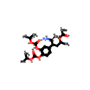 COC(=O)OC(C)CC(c1ccc(OC(=O)OC(C)C(C)C)c(OC(=O)OC(C)C(C)C)c1)[C@H](N)C(=O)O